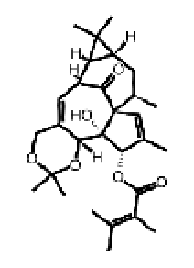 CC1=C[C@]23C(=O)[C@@H](C=C4COC(C)(C)O[C@H]4[C@]2(O)[C@H]1OC(=O)C(C)=C(C)C)[C@H]1[C@@H](C[C@H]3C)C1(C)C